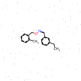 CCc1cccc(/[C]=N\OCc2ccccc2C)c1